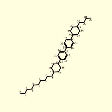 CCCCCCCCCCC1CCC(c2ccc(-c3ccc(C4=CCC(CCCC)CC4)cc3)cc2)CC1